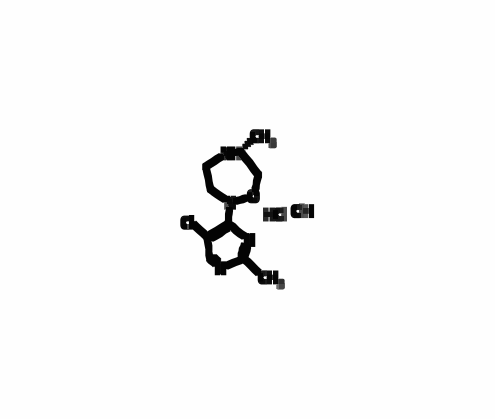 Cc1ncc(Cl)c(N2CCN[C@H](C)CO2)n1.Cl.Cl